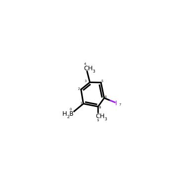 Bc1cc(C)cc(I)c1C